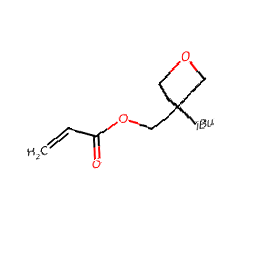 C=CC(=O)OCC1(C(C)CC)COC1